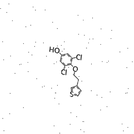 Oc1cc(Cl)c(OCCc2ccsc2)c(Cl)c1